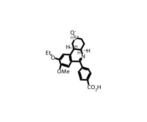 CCOc1cc2c(cc1OC)C(c1ccc(C(=O)O)cc1)=N[C@@H]1CC[S@@+]([O-])C[C@H]21